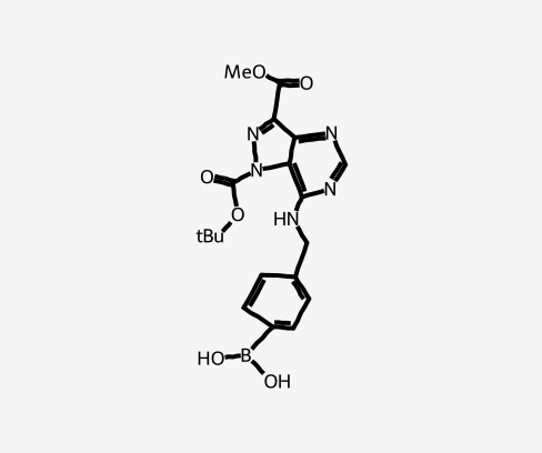 COC(=O)c1nn(C(=O)OC(C)(C)C)c2c(NCc3ccc(B(O)O)cc3)ncnc12